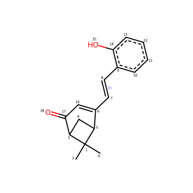 CC1(C)C2CC1C(/C=C/c1ccccc1O)=CC2=O